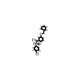 CCC(c1cccc(OCc2ccccc2)c1)S(=O)(=O)c1ccc(Cl)cc1